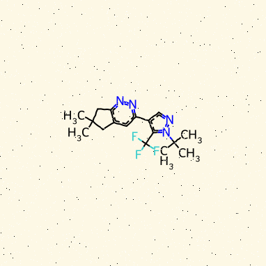 CC1(C)Cc2cc(-c3cnn(C(C)(C)C)c3C(F)(F)F)nnc2C1